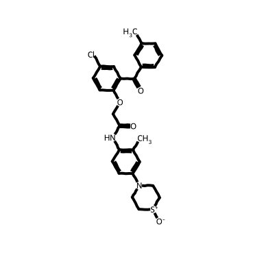 Cc1cccc(C(=O)c2cc(Cl)ccc2OCC(=O)Nc2ccc(N3CC[S+]([O-])CC3)cc2C)c1